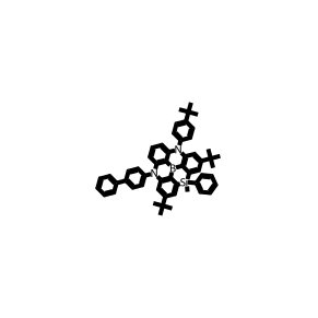 CC(C)(C)c1ccc(N2c3cccc4c3B3c5c(cc(C(C)(C)C)cc5[Si](C)(c5ccccc5)c5cc(C(C)(C)C)cc2c53)N4c2ccc(-c3ccccc3)cc2)cc1